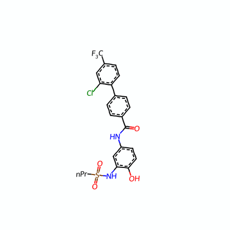 CCCS(=O)(=O)Nc1cc(NC(=O)c2ccc(-c3ccc(C(F)(F)F)cc3Cl)cc2)ccc1O